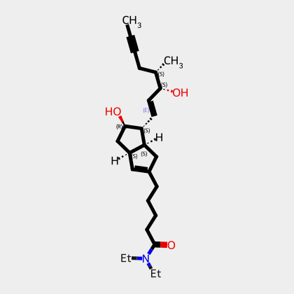 CC#CC[C@H](C)[C@H](O)/C=C/[C@@H]1[C@H]2CC(CCCCC(=O)N(CC)CC)=C[C@H]2C[C@H]1O